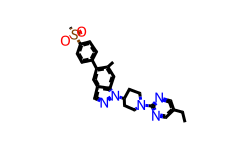 CCc1cnc(N2CCC(n3ncc4cc(-c5ccc(S(C)(=O)=O)cc5)c(C)cc43)CC2)nc1